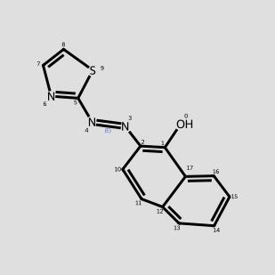 Oc1c(/N=N/c2nccs2)ccc2ccccc12